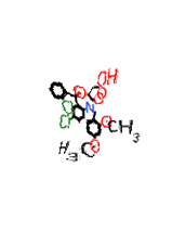 COc1ccc(CN2C(=O)C(CC(=O)O)OC(c3ccccc3Cl)c3cc(Cl)ccc32)c(OC)c1